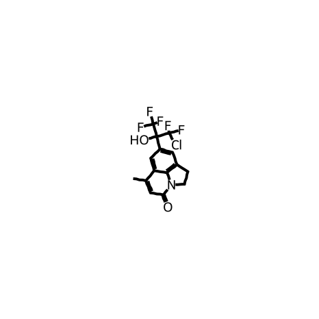 Cc1cc(=O)n2c3c(cc(C(O)(C(F)(F)F)C(F)(F)Cl)cc13)CC2